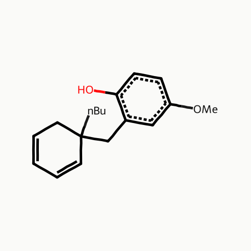 CCCCC1(Cc2cc(OC)ccc2O)C=CC=CC1